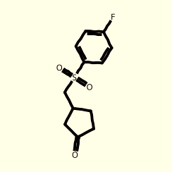 O=C1CCC(CS(=O)(=O)c2ccc(F)cc2)C1